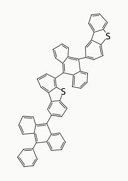 c1ccc(-c2c3ccccc3c(-c3ccc4sc5c(-c6c7ccccc7c(-c7ccc8sc9ccccc9c8c7)c7ccccc67)cccc5c4c3)c3ccccc23)cc1